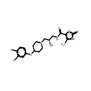 O=C(NC[C@@H](O)CN1CCC(Oc2ccc(Cl)c(Cl)c2)CC1)c1oc(=O)[nH]c1C(F)(F)F